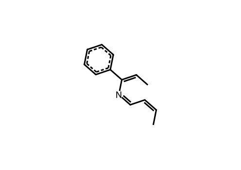 C\C=C/C=N\C(=C/C)c1ccccc1